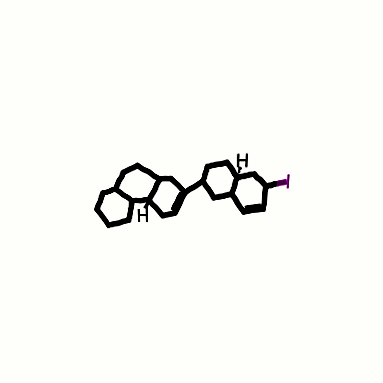 IC1C=CC2CC(C3=CC[C@H]4C(CCC5CCCCC54)C3)CC[C@H]2C1